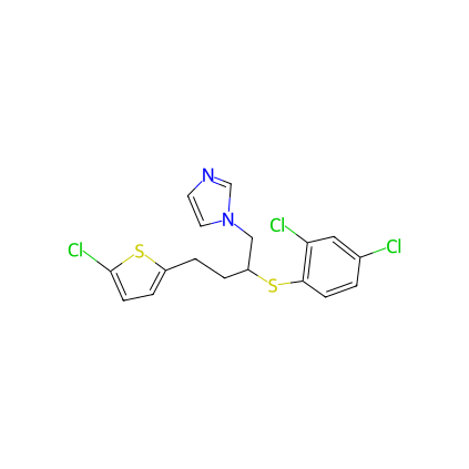 Clc1ccc(SC(CCc2ccc(Cl)s2)Cn2ccnc2)c(Cl)c1